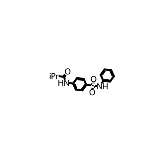 CC(C)C(=O)Nc1ccc(S(=O)(=O)Nc2ccccc2)cc1